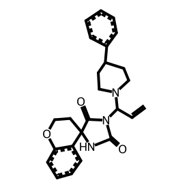 C=CC(N1CCC(c2ccccc2)CC1)N1C(=O)NC2(CCOc3ccccc32)C1=O